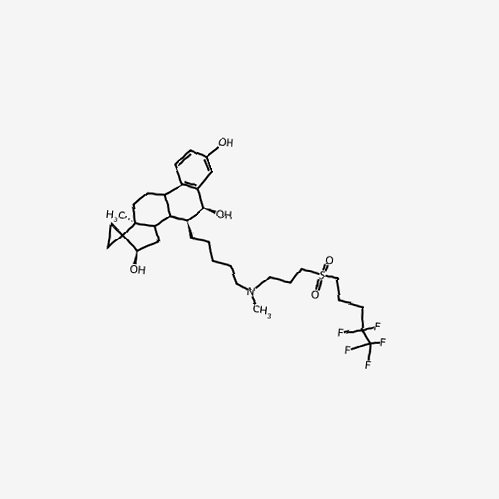 CN(CCCCC[C@H]1C2C(CC[C@@]3(C)C2C[C@@H](O)C32CC2)c2ccc(O)cc2[C@H]1O)CCCS(=O)(=O)CCCC(F)(F)C(F)(F)F